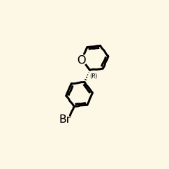 Brc1ccc([C@H]2C=CC=CO2)cc1